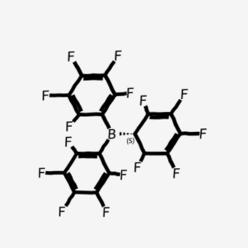 FC1=C(F)C(F)[C@H](B(c2c(F)c(F)c(F)c(F)c2F)c2c(F)c(F)c(F)c(F)c2F)C(F)=C1F